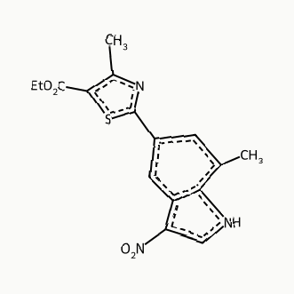 CCOC(=O)c1sc(-c2cc(C)c3[nH]cc([N+](=O)[O-])c3c2)nc1C